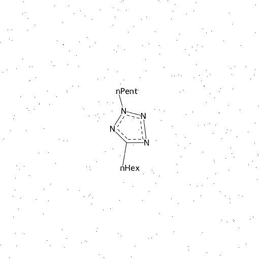 CCCCCCc1nnn(CCCCC)n1